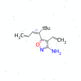 C=C/C=C(\c1onc(N)c1C=C)C(C)(C)C